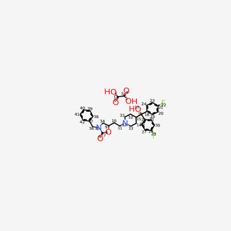 O=C(O)C(=O)O.O=C1OC(CCN2CCC(C(O)(c3ccc(F)cc3)c3ccc(F)cc3)CC2)CN1Cc1ccccc1